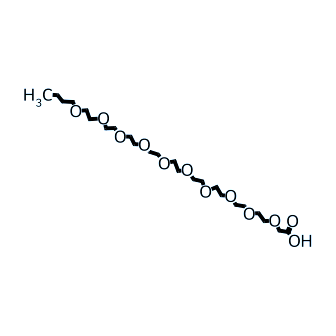 CCCCOCCOCCOCCOCCOCCOCCOCCOCCOCCOCC(=O)O